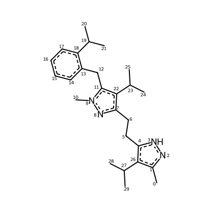 Cc1n[nH]c(CCc2nn(C)c(Cc3ccccc3C(C)C)c2C(C)C)c1C(C)C